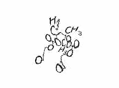 CC(CC(C)(C)OOC(=O)OCC1CO1)OC(=O)OCC1CO1